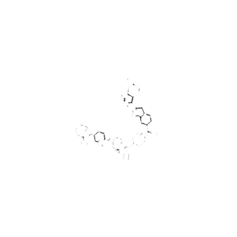 C[C@@H]1CN(c2ccc(N3C(=O)CCCC3=O)cn2)CCN1CC1CCN(C(=O)c2ccc3cc(-c4n[nH]c5c4CCC(C)(C)C5)[nH]c3c2)CC1